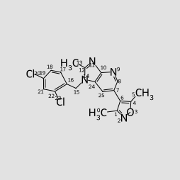 Cc1noc(C)c1-c1cnc2nc(C)n(Cc3ccc(Cl)cc3Cl)c2c1